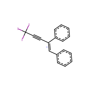 IC(I)(I)C#C/C(=C/c1ccccc1)c1ccccc1